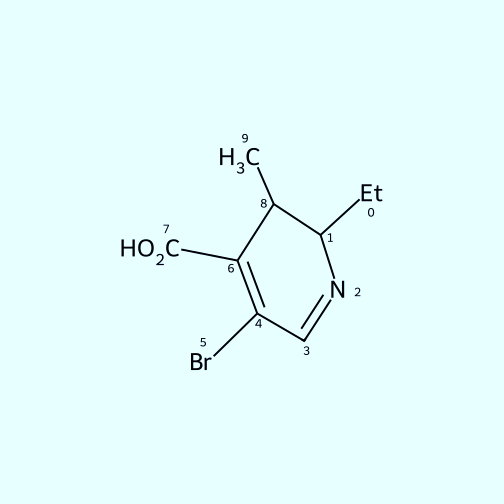 CCC1N=CC(Br)=C(C(=O)O)C1C